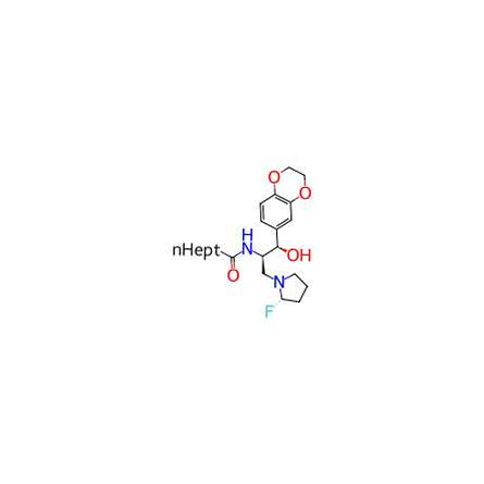 CCCCCCCC(=O)N[C@H](CN1CCC[C@@H]1F)[C@H](O)c1ccc2c(c1)OCCO2